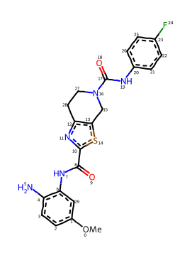 COc1ccc(N)c(NC(=O)c2nc3c(s2)CN(C(=O)Nc2ccc(F)cc2)CC3)c1